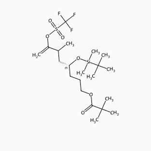 C=C(OS(=O)(=O)C(F)(F)F)C(C)C[C@@H](CCCOC(=O)C(C)(C)C)O[Si](C)(C)C(C)(C)C